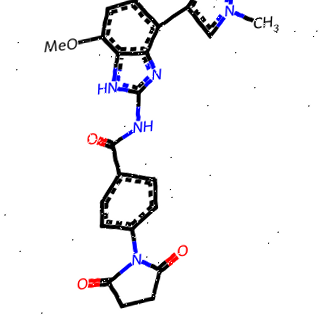 COc1ccc(-c2cnn(C)c2)c2nc(NC(=O)c3ccc(N4C(=O)CCC4=O)cc3)[nH]c12